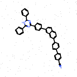 N#Cc1ccc(-c2ccc(-c3ccc4ccc(-c5ccc(C6=NC(c7ccccc7)NC(c7ccccc7)=N6)cc5)cc4c3)cc2)cc1